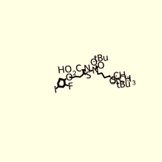 CC(C)(C)OC(=O)N(CCCCO[Si](C)(C)C(C)(C)C)c1nc(C(=O)O)c(CCCOc2ccc(I)cc2F)s1